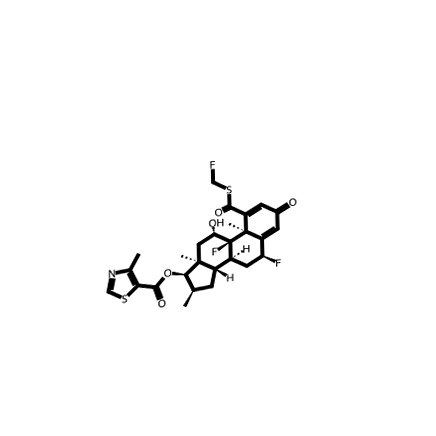 Cc1ncsc1C(=O)O[C@@H]1[C@H](C)C[C@H]2[C@@H]3C[C@H](F)C4=CC(=O)C=C(C(=O)SCF)[C@]4(C)[C@@]3(F)[C@@H](O)C[C@]12C